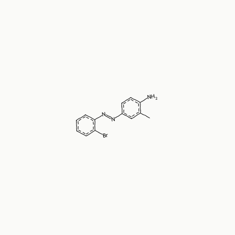 Cc1cc(N=Nc2ccccc2Br)ccc1N